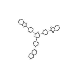 c1ccc2cc(-c3ccc(-c4cc(-c5ccc(-c6nc7ccccc7o6)cc5)nc(-c5ccc(-c6nc7ccccc7s6)cc5)n4)cc3)ccc2c1